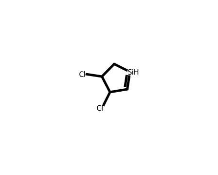 ClC1C=[SiH]CC1Cl